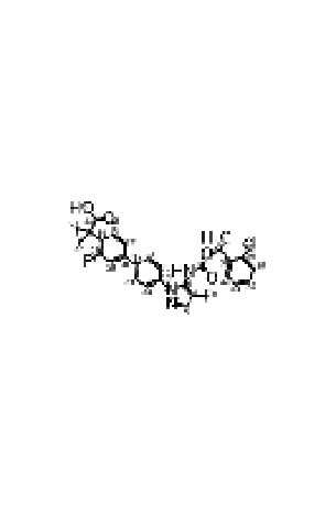 CC(OC(=O)Nc1c(F)cnn1-c1ccc(-c2ccc(C3(C(=O)O)CC3)c(F)c2)cc1)c1ccccc1Cl